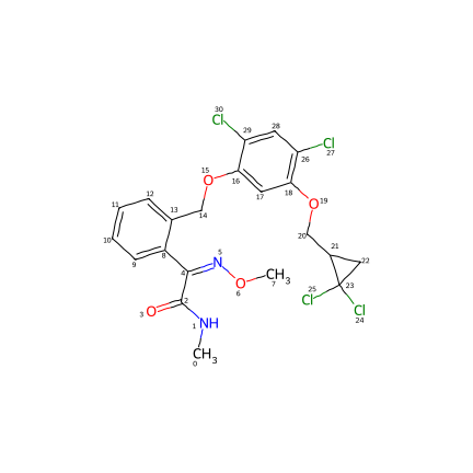 CNC(=O)C(=NOC)c1ccccc1COc1cc(OCC2CC2(Cl)Cl)c(Cl)cc1Cl